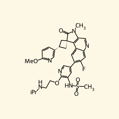 COc1ccc([C@H]2C[C@]3(C2)C(=O)N(C)c2cnc4cc(F)c(-c5cnc(OCCNC(C)C)c(NS(C)(=O)=O)c5)cc4c23)cn1